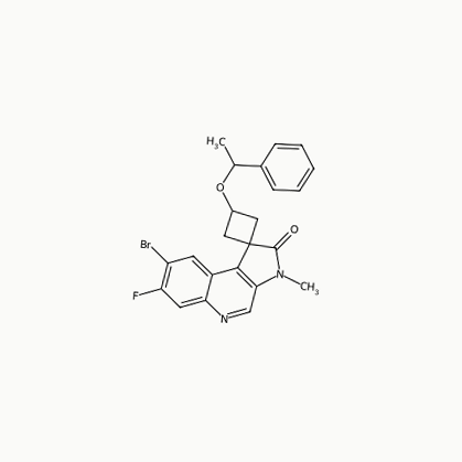 CC(OC1CC2(C1)C(=O)N(C)c1cnc3cc(F)c(Br)cc3c12)c1ccccc1